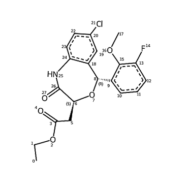 CCOC(=O)C[C@@H]1O[C@@H](c2cccc(F)c2OC)c2cc(Cl)ccc2NC1=O